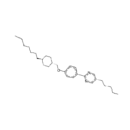 CCCCCCC[C@H]1CC[C@H](COc2ccc(-c3ncc(CCCCC)cn3)cc2)CC1